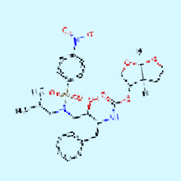 CC(C)CN(C[C@@H](O)[C@H](Cc1ccccc1)NC(=O)OC1CO[C@H]2OCC[C@@H]12)S(=O)(=O)c1ccc([N+](=O)[O-])cc1